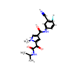 CC(C)NC(=O)C(=O)c1cc(C(=O)Nc2ccc(F)c(C#N)c2)cn1C